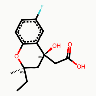 CC[C@]1(C)C[C@@](O)(CC(=O)O)c2cc(F)ccc2O1